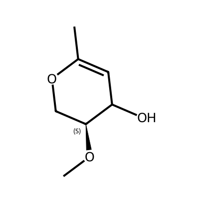 CO[C@H]1COC(C)=CC1O